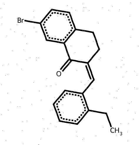 CCc1ccccc1C=C1CCc2ccc(Br)cc2C1=O